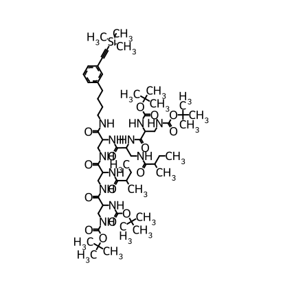 CCC(C)C(=O)NCC(NC(=O)C(CNC(=O)OC(C)(C)C)NC(=O)OC(C)(C)C)C(=O)NC(CNC(=O)C(CNC(=O)C(CNC(=O)OC(C)(C)C)NC(=O)OC(C)(C)C)NC(=O)C(C)CC)C(=O)NCCCCc1cccc(C#C[Si](C)(C)C)c1